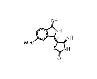 COc1ccc2c(c1)/C(=C1\SC(=O)NC1=N)NC2=N